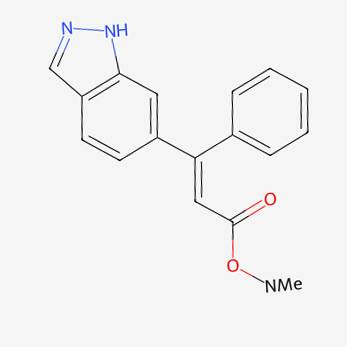 CNOC(=O)/C=C(\c1ccccc1)c1ccc2cn[nH]c2c1